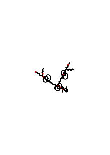 CCCCCC(CCCCC)CCOC(=O)CCCCCCCC1(CCCCCCCC(=O)OCCC(CCCCC)CCCCC)OCC(CCN2CCCC2)O1